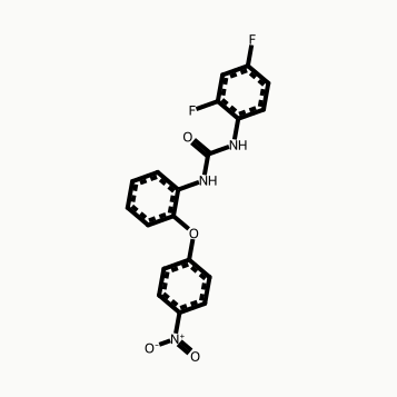 O=C(Nc1ccc(F)cc1F)Nc1ccccc1Oc1ccc([N+](=O)[O-])cc1